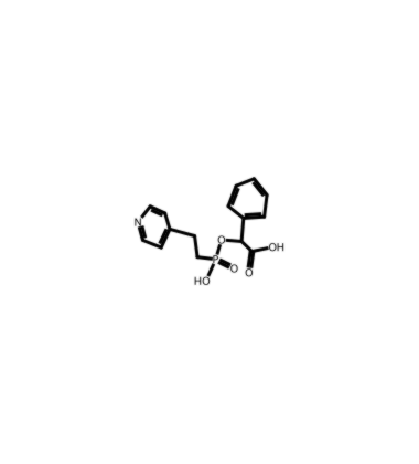 O=C(O)C(OP(=O)(O)CCc1ccncc1)c1ccccc1